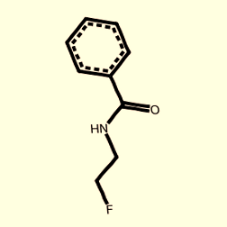 O=C(NCCF)c1ccccc1